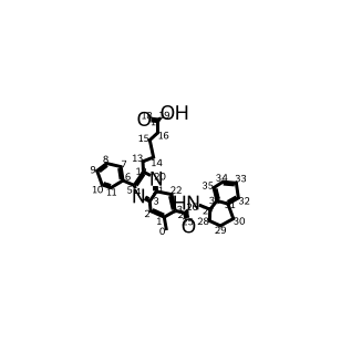 Cc1cc2nc(-c3ccccc3)c(CCCCC(=O)O)nc2cc1C(=O)NC1CCCc2ccccc21